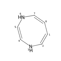 c1cc[nH]cc[nH]c1